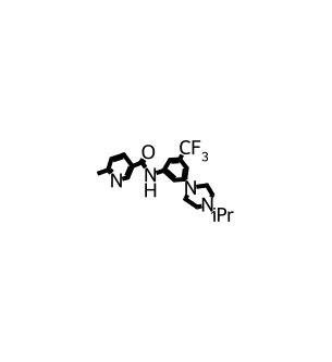 Cc1ccc(C(=O)Nc2cc(N3CCN(C(C)C)CC3)cc(C(F)(F)F)c2)cn1